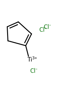 [Cl-].[Cl-].[Cl-].[Ti+3][C]1=CC=CC1